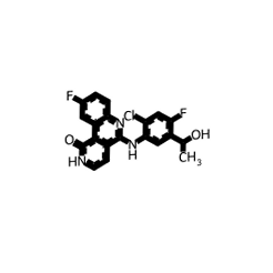 CC(O)c1cc(Nc2nc3ccc(F)cc3c3c(=O)[nH]ccc23)c(Cl)cc1F